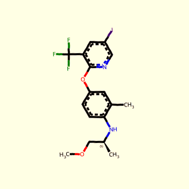 COC[C@H](C)Nc1ccc(Oc2ncc(I)cc2C(F)(F)F)cc1C